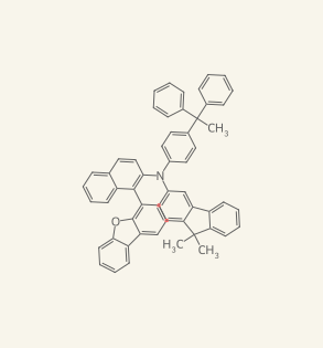 CC1(C)c2ccccc2-c2cc(N(c3ccc(C(C)(c4ccccc4)c4ccccc4)cc3)c3ccc4ccccc4c3-c3cccc4c3oc3ccccc34)ccc21